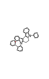 c1ccc(-c2ccccc2-n2c3c(c4ccccc42)-c2c(n(-c4ccccc4)c4ccccc24)CC3)cc1